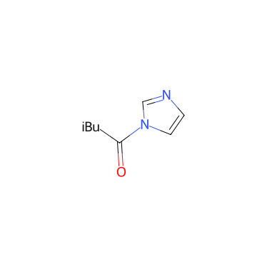 CCC(C)C(=O)n1ccnc1